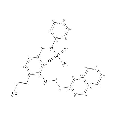 CS(=O)(=O)N(Cc1ccc(C=CC(=O)O)c(OCCc2ccc3ccccc3c2)c1)c1ccccc1